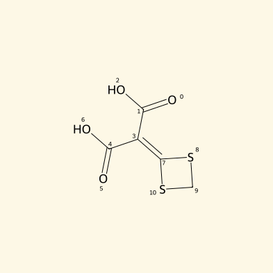 O=C(O)C(C(=O)O)=C1SCS1